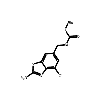 CC(C)(C)OC(=O)NCc1cc(Cl)c2nc(N)sc2c1